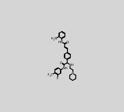 Nc1ccccc1NC(=O)C=Cc1ccc(C(NCCN2CCCCC2)C(=O)Nc2ccc(C(F)(F)F)c(F)c2)cc1